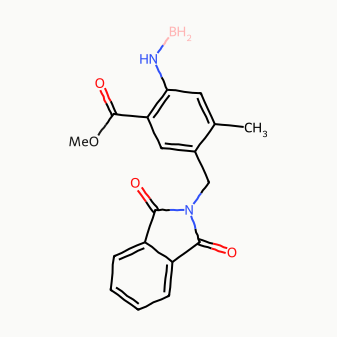 BNc1cc(C)c(CN2C(=O)c3ccccc3C2=O)cc1C(=O)OC